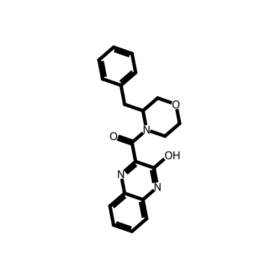 O=C(c1nc2ccccc2nc1O)N1CCOCC1Cc1ccccc1